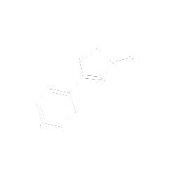 Nn1ccc(-c2ccccc2)n1